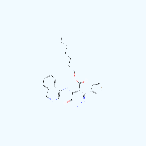 CCOC(=O)CCCCCCOC(=O)c1c(-c2ccsc2)nn(CC)c(=O)c1Nc1cncc2ccccc12